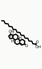 CCCCCCCCCCCCCCCCCC(=O)O.C[C@]12CC[C@H]3[C@@H](CCC4=CC(=O)CC[C@@]43C)[C@@H]1CC[C@@H]2O